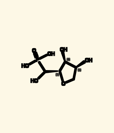 O=P(O)(O)C(O)[C@H]1OC[C@H](O)[C@@H]1O